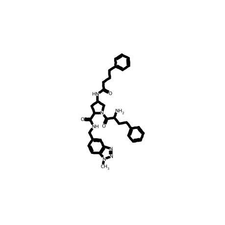 Cn1nnc2cc(CNC(=O)C3CC(NC(=O)CCCc4ccccc4)CN3C(=O)C(N)CCc3ccccc3)ccc21